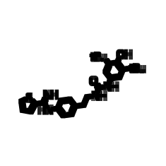 CC(C)(C)c1cc(NC(=O)NCCc2ccc(NC(=N)c3cccs3)cc2)cc(C(C)(C)C)c1O